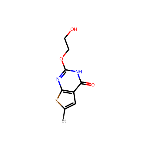 CCc1cc2c(=O)[nH]c(OCCO)nc2s1